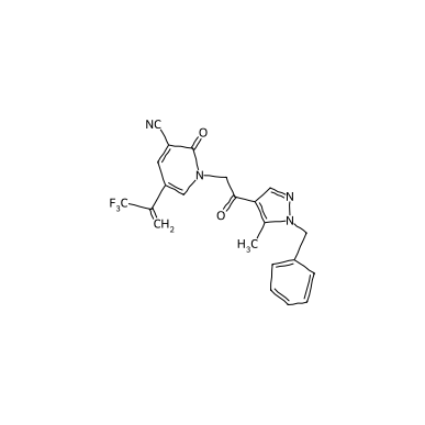 C=C(c1cc(C#N)c(=O)n(CC(=O)c2cnn(Cc3ccccc3)c2C)c1)C(F)(F)F